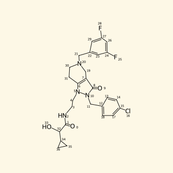 O=C(NCCn1c2c(c(=O)n1Cc1ccc(Cl)cc1)CN(Cc1cc(F)cc(F)c1)CC2)C(O)C1CC1